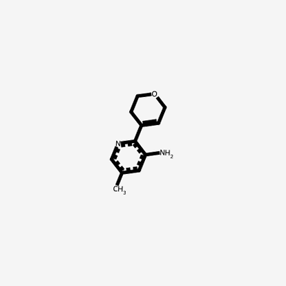 Cc1cnc(C2=CCOCC2)c(N)c1